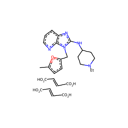 CCN1CCC(Nc2nc3cccnc3n2Cc2ccc(C)o2)CC1.O=C(O)C=CC(=O)O.O=C(O)C=CC(=O)O